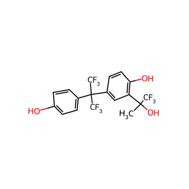 CC(O)(c1cc(C(c2ccc(O)cc2)(C(F)(F)F)C(F)(F)F)ccc1O)C(F)(F)F